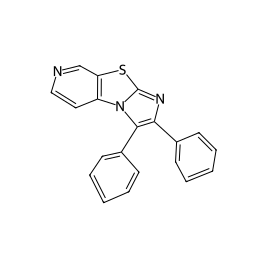 c1ccc(-c2nc3sc4cnccc4n3c2-c2ccccc2)cc1